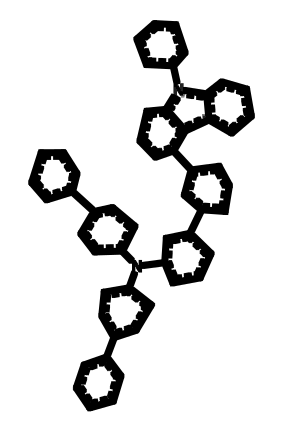 c1ccc(-c2ccc(N(c3ccc(-c4ccccc4)cc3)c3cccc(-c4cccc(-c5cccc6c5c5ccccc5n6-c5ccccc5)c4)c3)cc2)cc1